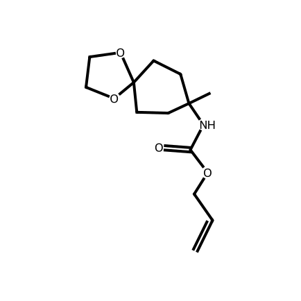 C=CCOC(=O)NC1(C)CCC2(CC1)OCCO2